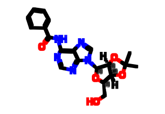 CC1(C)O[C@H]2[C@H](O1)[C@@H](CO)O[C@H]2n1cnc2c(NC(=O)c3ccccc3)ncnc21